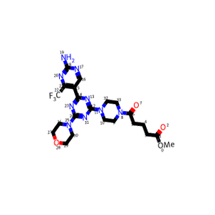 COC(=O)CCCC(=O)N1CCN(c2nc(-c3cnc(N)nc3C(F)(F)F)nc(N3CCOCC3)n2)CC1